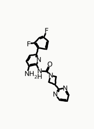 Nc1ccc(-c2ccc(F)cc2F)nc1NC(=O)N1CC(c2ncccn2)C1